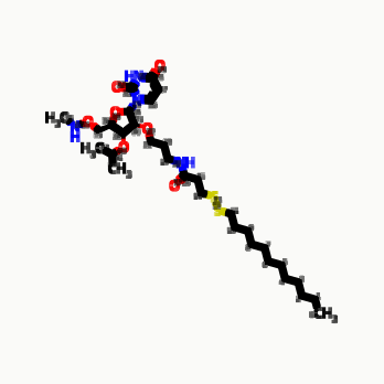 CCCCCCCCCCCCSSCCC(=O)NCCCO[C@H]1C(n2ccc(=O)[nH]c2=O)O[C@H](CONC)[C@H]1OC(C)C